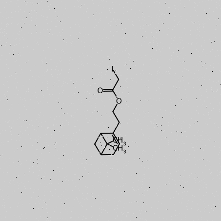 CC1(C)C2CC=C(CCOC(=O)CI)C1C2